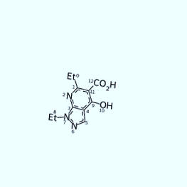 CCc1nc2c(cnn2CC)c(O)c1C(=O)O